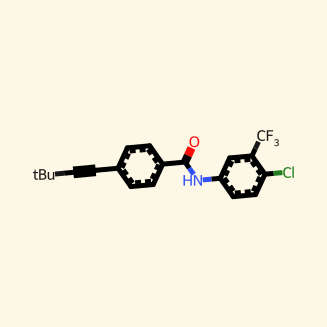 CC(C)(C)C#Cc1ccc(C(=O)Nc2ccc(Cl)c(C(F)(F)F)c2)cc1